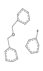 Fc1ccccc1.c1ccc(COCc2ccccc2)cc1